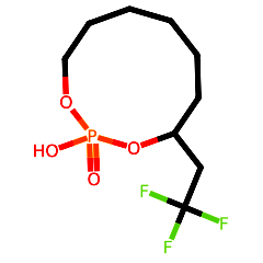 O=P1(O)OCCCCCCC(CC(F)(F)F)O1